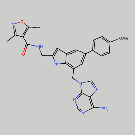 COc1ccc(-c2cc(Cn3cnc4c(N)ncnc43)c3[nH]c(CNC(=O)c4c(C)noc4C)cc3c2)cc1